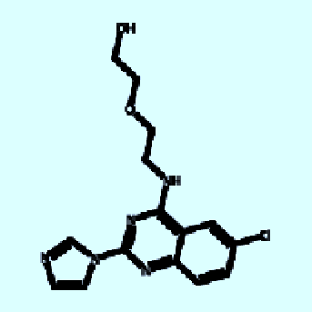 OCCOCCNc1nc(-n2ccnc2)nc2ccc(Cl)cc12